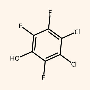 Oc1c(F)c(F)c(Cl)c(Cl)c1F